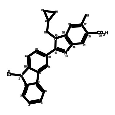 CCn1c2ccccc2c2cc(-c3nc4cc(C(=O)O)c(C)cc4n3CC3CC3)ccc21